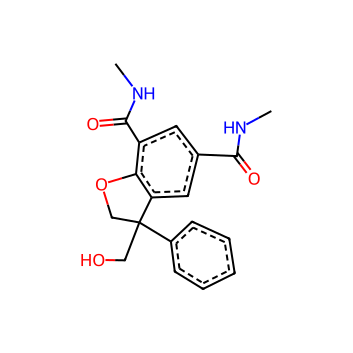 CNC(=O)c1cc(C(=O)NC)c2c(c1)C(CO)(c1ccccc1)CO2